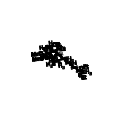 CCO[Si](C)(CCCNC[SiH2]CCc1c([SiH](C)C)cc(C(C)[Si](OC)(OC)OC)c([SiH](C)C)c1N(CC)CC)OCC